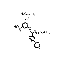 CCCON=C(COc1cc(COC(C)C)cc(C(=O)O)c1)c1cc(-c2ccc(F)cc2)no1